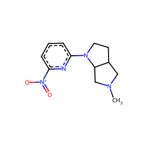 CN1CC2CCN(c3cccc([N+](=O)[O-])n3)C2C1